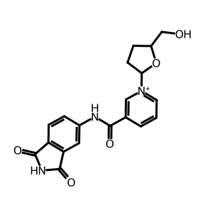 O=C(Nc1ccc2c(c1)C(=O)NC2=O)c1ccc[n+](C2CCC(CO)O2)c1